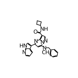 CN(Cc1ccccc1)c1cc(-c2c[nH]c3ncccc23)nc2c(C(=O)NC3CCC3)cnn12